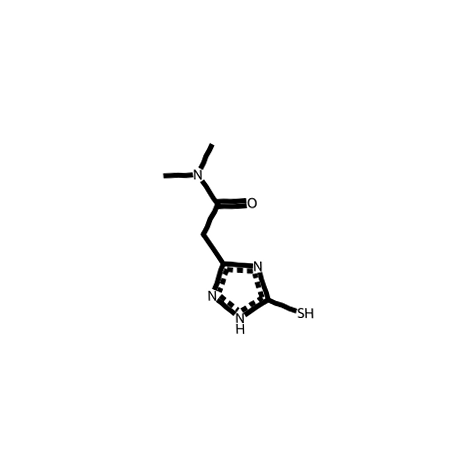 CN(C)C(=O)Cc1n[nH]c(S)n1